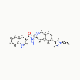 Cn1cc(-c2ccc3cnc(NC(=O)C4=CNC5C=CC=CC5=C4)cc3c2)cn1